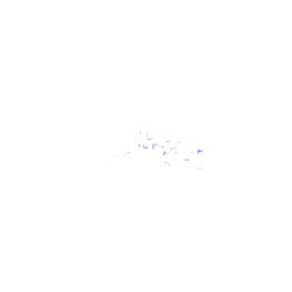 CC(C)CCOc1cccc(C(=O)Nc2ccn3c2CSC3c2cccnc2)c1